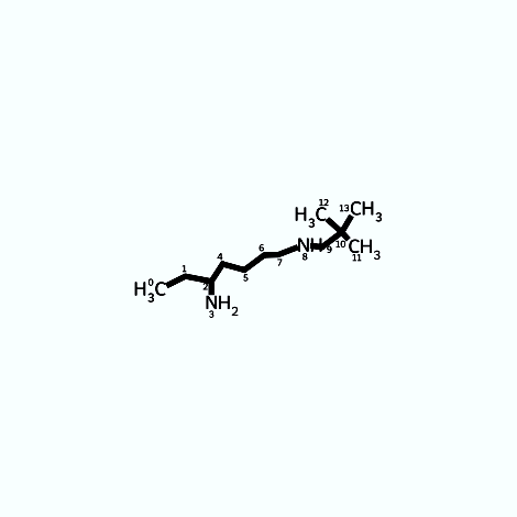 CCC(N)CCCCNCC(C)(C)C